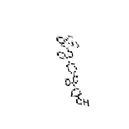 O=C(Oc1ccc(C(=O)O[C@@H]2COC3CCOC32)cc1)c1ccc(O)cc1